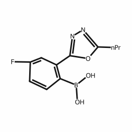 CCCc1nnc(-c2cc(F)ccc2B(O)O)o1